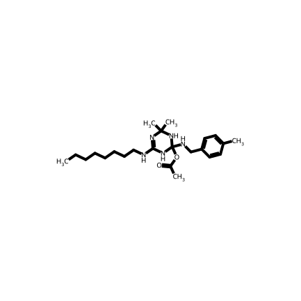 CCCCCCCCNC1=NC(C)(C)NC(NCc2ccc(C)cc2)(OC(C)=O)N1